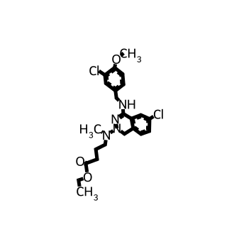 CCOC(=O)CCCN(C)N1Cc2ccc(Cl)cc2C(NCc2ccc(OC)c(Cl)c2)=N1